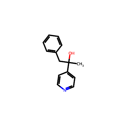 CC(O)(Cc1ccccc1)c1ccncc1